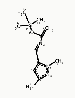 C=C(/N=C/c1cc(C)nn1C)O[Si](C)(C)C